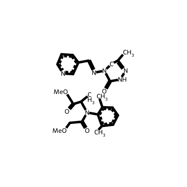 CC1=NNC(=O)N(/N=C/c2cccnc2)C1.COCC(=O)N(c1c(C)cccc1C)C(C)C(=O)OC